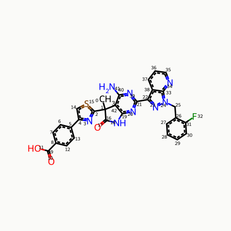 CC1(c2nc(-c3ccc(C(=O)O)cc3)cs2)C(=O)Nc2nc(-c3nn(Cc4ccccc4F)c4ncccc34)nc(N)c21